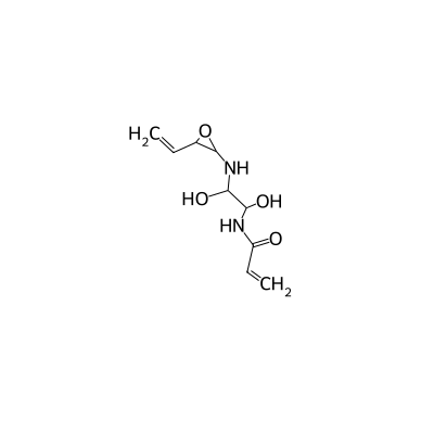 C=CC(=O)NC(O)C(O)NC1OC1C=C